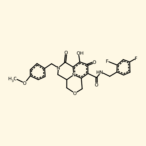 COc1ccc(CN2CC3COCc4c(C(=O)NCc5ccc(F)cc5F)c(=O)c(O)c(n43)C2=O)cc1